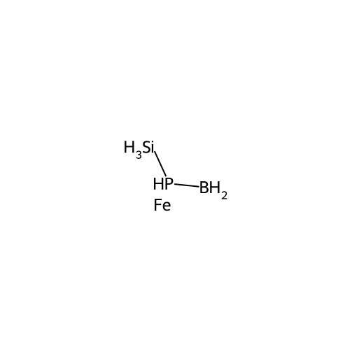 BP[SiH3].[Fe]